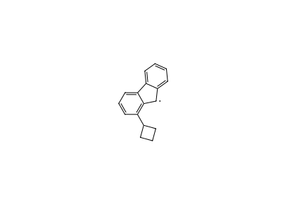 [CH]1c2ccccc2-c2cccc(C3CCC3)c21